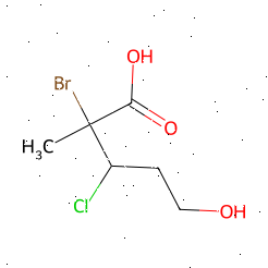 CC(Br)(C(=O)O)C(Cl)CCO